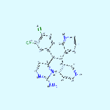 Nc1nccc(C(c2ccc(Cl)c(Cl)c2)C(c2cccnc2)c2cccnc2)n1